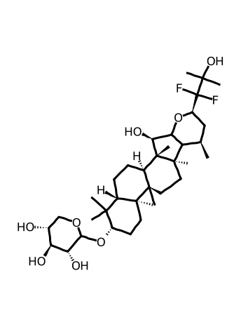 C[C@@H]1C[C@H](C(F)(F)C(C)(C)O)OC2C1[C@@]1(C)CC[C@@]34C[C@@]35CC[C@H](OC3OC[C@@H](O)[C@H](O)[C@H]3O)C(C)(C)[C@@H]5CC[C@H]4[C@]1(C)[C@H]2O